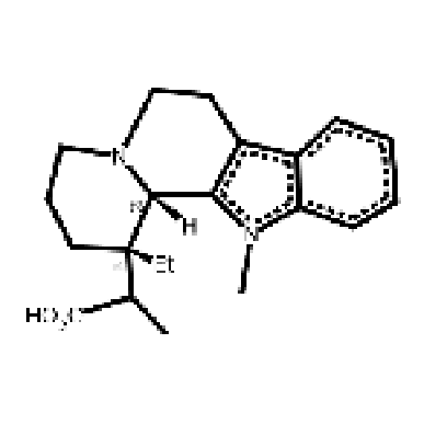 CC[C@@]1(C(C)C(=O)O)CCCN2CCc3c(n(C)c4ccccc34)[C@@H]21